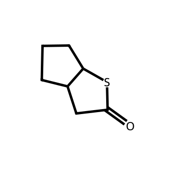 O=C1CC2CCCC2S1